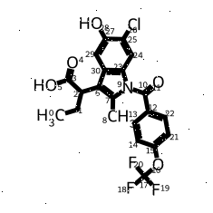 CCC(C(=O)O)c1c(C)n(C(=O)c2ccc(OC(F)(F)F)cc2)c2cc(Cl)c(O)cc12